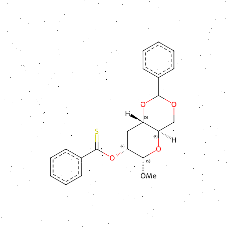 CO[C@H]1O[C@@H]2COC(c3ccccc3)O[C@H]2C[C@H]1OC(=S)c1ccccc1